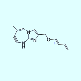 C=C/C=C/OCc1cn2c(n1)NC#CC(C)=C2